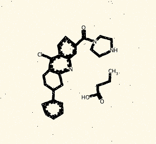 CCCC(=O)O.O=C(c1ccc2c(Cl)c3c(nc2c1)CC(c1ccccc1)CC3)N1CCNCC1